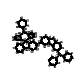 c1ccc(N(c2ccccc2)c2ccc3sc4ccc(-c5ccc6c(c5)C5(c7ccccc7-6)c6ccccc6N(c6ccccc6)c6ccccc65)cc4c3c2)cc1